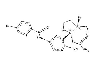 N#Cc1ccc(NC(=O)c2ccc(Br)cn2)cc1[C@@]12OCC[C@@H]1CN=C(N)S2